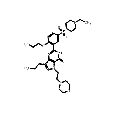 CCCOc1ccc(S(=O)(=O)N2CCN(CC)CC2)cc1-c1nc2c(CCC)nn(CCN3CCOCC3)c2c(=O)[nH]1